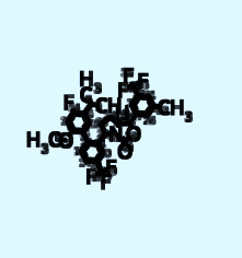 COc1cc(F)c(C(C)C)cc1-c1ccc(C(F)(F)F)cc1C1CC[C@H]2[C@@H](c3cc(C)cc(C(F)(F)F)c3)OC(=O)N12